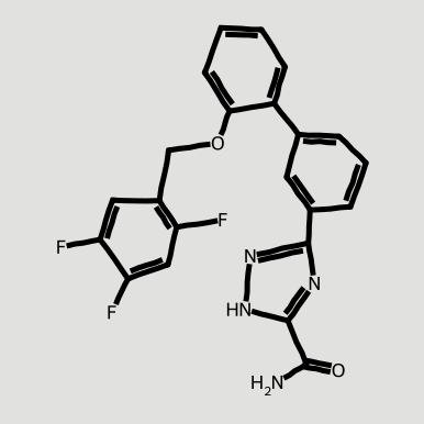 NC(=O)c1nc(-c2cccc(-c3ccccc3OCc3cc(F)c(F)cc3F)c2)n[nH]1